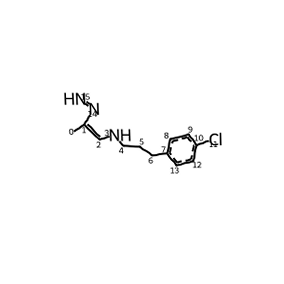 C/C(=C/NCCCc1ccc(Cl)cc1)N=N